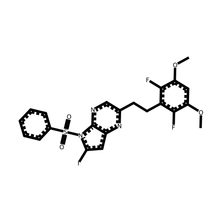 COc1cc(OC)c(F)c(CCc2cnc3c(cc(I)n3S(=O)(=O)c3ccccc3)n2)c1F